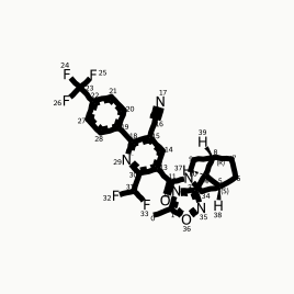 Cc1nc([C@@H]2[C@@H]3CC[C@H]2CN(C(=O)c2cc(C#N)c(-c4ccc(C(F)(F)F)cc4)nc2C(F)F)C3)no1